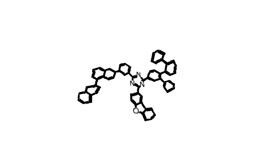 c1ccc(-c2ccccc2-c2ccc(-c3nc(-c4cccc(-c5ccc6c(-c7ccc8ccccc8c7)cccc6c5)c4)nc(-c4ccc5oc6ccccc6c5c4)n3)cc2-c2ccccc2)cc1